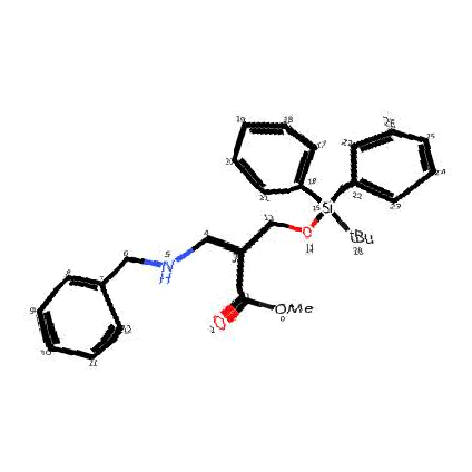 COC(=O)C(CNCc1ccccc1)CO[Si](c1ccccc1)(c1ccccc1)C(C)(C)C